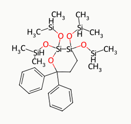 C[SiH](C)O[Si]1(O[SiH](C)C)CCC(c2ccccc2)(c2ccccc2)O[Si]1(O[SiH](C)C)O[SiH](C)C